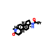 CC(C)C(=O)N[C@H]1CC[C@H]2[C@@H]3CC[C@H]4N(C)C(=O)C=C[C@]4(C)[C@H]3CC[C@]12C